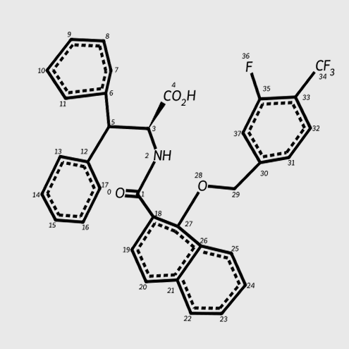 O=C(N[C@H](C(=O)O)C(c1ccccc1)c1ccccc1)c1ccc2ccccc2c1OCc1ccc(C(F)(F)F)c(F)c1